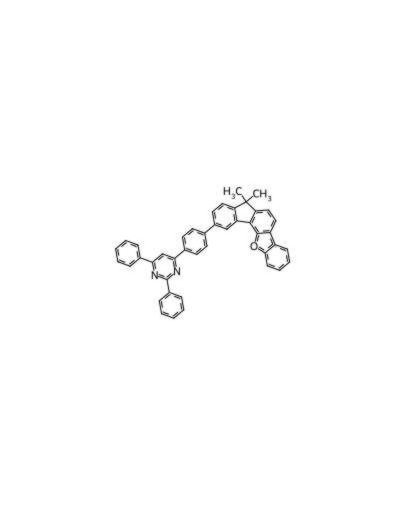 CC1(C)c2ccc(-c3ccc(-c4cc(-c5ccccc5)nc(-c5ccccc5)n4)cc3)cc2-c2c1ccc1c2oc2ccccc21